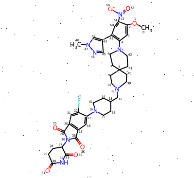 COc1cc(N2CCC3(CCN(CC4CCN(c5cc6c(cc5F)C(=O)N(C5CCC(=O)NC5=O)C6=O)CC4)CC3)CC2)c(-c2cnn(C)c2)cc1[N+](=O)[O-]